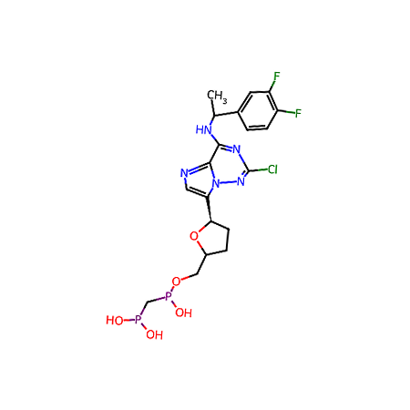 CC(Nc1nc(Cl)nn2c([C@H]3CCC(COP(O)CP(O)O)O3)cnc12)c1ccc(F)c(F)c1